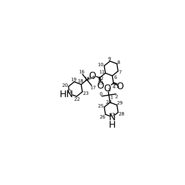 CC(C)(OC(=O)C1CCCCC1C(=O)OC(C)(C)C1CCNCC1)C1CCNCC1